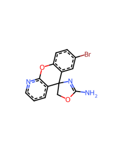 NC1=NC2(CO1)c1cc(Br)ccc1Oc1ncccc12